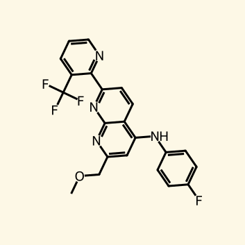 COCc1cc(Nc2ccc(F)cc2)c2ccc(-c3ncccc3C(F)(F)F)nc2n1